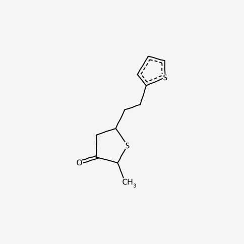 CC1SC(CCc2cccs2)CC1=O